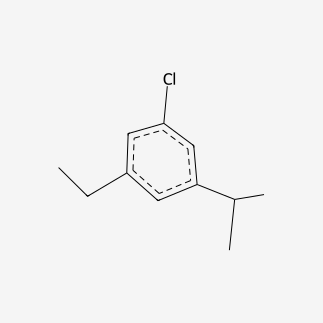 CCc1cc(Cl)cc(C(C)C)c1